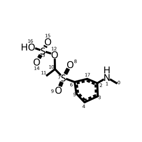 CNc1cccc(S(=O)(=O)C(C)OS(=O)(=O)O)c1